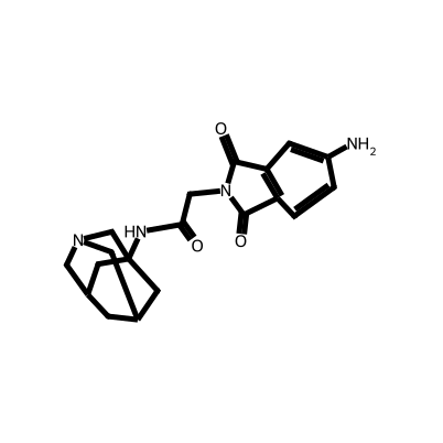 Nc1ccc2c(c1)C(=O)N(CC(=O)NC13CC4CC(CN(C4)C1)C3)C2=O